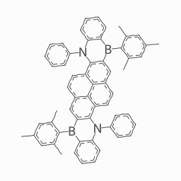 Cc1cc(C)c(B2c3ccccc3N(c3ccccc3)c3c2cc2ccc4c5c(cc6ccc3c2c64)B(c2c(C)cc(C)cc2C)c2ccccc2N5c2ccccc2)c(C)c1